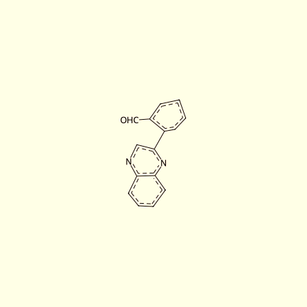 O=Cc1ccccc1-c1cnc2ccccc2n1